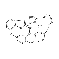 c1cc2c3[n+](c1)[N+]14c5c(ccc6c5B3c3c-2ccnc3O6)Oc2ccc3c(c21)B1c2c(ccnc2O3)-c2ccc[n+]4c21